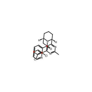 Cc1nc(-c2ccccn2)c2c(n1)[C@H]1CCC[C@@H](C2)N1C(=O)c1cccc(Cl)c1Cl